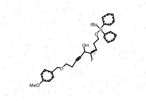 COc1ccc(COCCC#CC(O)/C(F)=C\CCO[Si](c2ccccc2)(c2ccccc2)C(C)(C)C)cc1